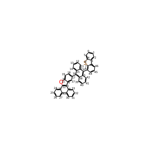 c1ccc2c(c1)sc1c(-c3c4ccccc4c(-c4ccc5oc6c7ccccc7c7ccccc7c6c5c4)c4ccccc34)cccc12